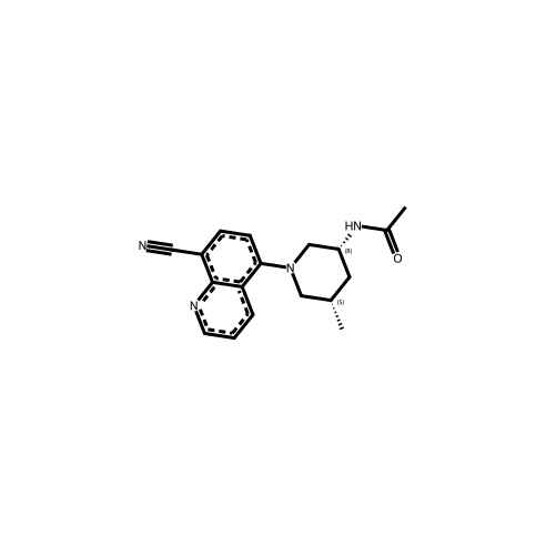 CC(=O)N[C@@H]1C[C@H](C)CN(c2ccc(C#N)c3ncccc23)C1